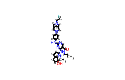 C=CCn1c(=O)c2cnc(Nc3ccc(N4CC5CC(CN(CCF)C5)C4)cc3)nc2n1-c1ccc2c(n1)[C@@](C)(O)CC2